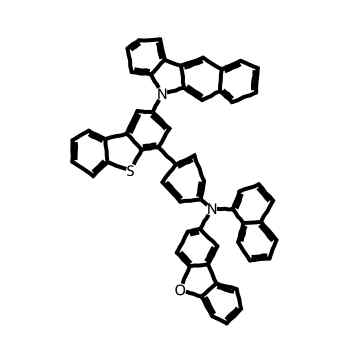 c1ccc2cc3c(cc2c1)c1ccccc1n3-c1cc(-c2ccc(N(c3ccc4oc5ccccc5c4c3)c3cccc4ccccc34)cc2)c2sc3ccccc3c2c1